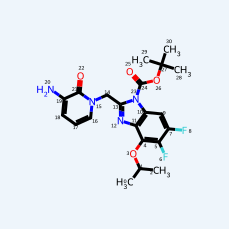 CC(C)Oc1c(F)c(F)cc2c1nc(Cn1cccc(N)c1=O)n2C(=O)OC(C)(C)C